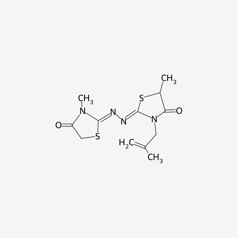 C=C(C)CN1C(=O)C(C)SC1=NN=C1SCC(=O)N1C